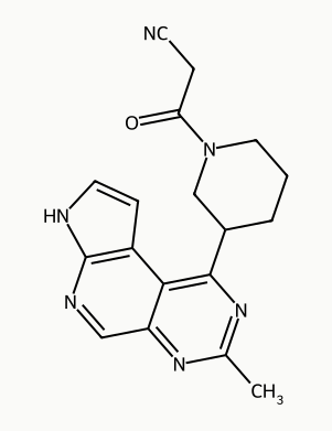 Cc1nc(C2CCCN(C(=O)CC#N)C2)c2c(cnc3[nH]ccc32)n1